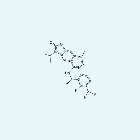 Cc1nnc(N[C@H](C)c2cccc(C(F)F)c2F)c2cc3c(cc12)oc(=O)n3C(C)C